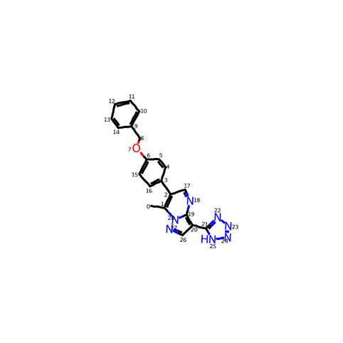 Cc1c(-c2ccc(OCc3ccccc3)cc2)cnc2c(-c3nnn[nH]3)cnn12